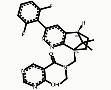 CCN(C[C@@]12CC[C@@H](c3cc(-c4c(F)cccc4F)nnc31)C2(C)C)C(=O)c1cncnc1O